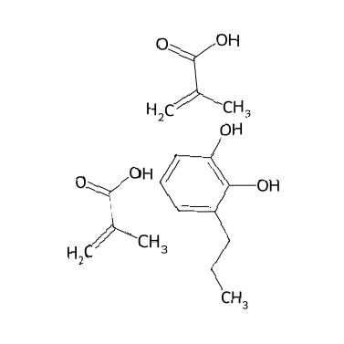 C=C(C)C(=O)O.C=C(C)C(=O)O.CCCc1cccc(O)c1O